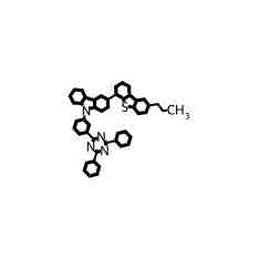 CCCc1ccc2sc3c(-c4ccc5c(c4)c4ccccc4n5-c4cccc(-c5nc(-c6ccccc6)nc(-c6ccccc6)n5)c4)cccc3c2c1